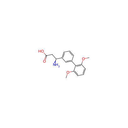 COc1cccc(OC)c1-c1cccc([C@@H](N)CC(=O)O)c1